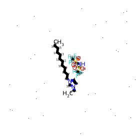 C=CN1C=CN(CCCCCCCCCCCC)C1.O=S(=O)(NS(=O)(=O)C(F)(F)F)C(F)(F)F